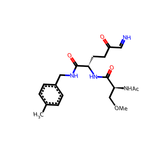 COC[C@H](NC(C)=O)C(=O)N[C@@H](CCC(=O)C=N)C(=O)NCc1ccc(C)cc1